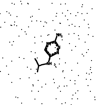 CC(C)Nc1cnc(N)nn1